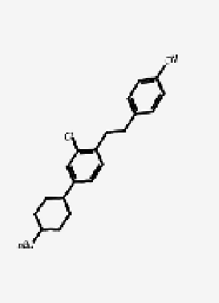 CCCCC1CCC(c2ccc(CCc3ccc(C#N)cc3)c(Cl)c2)CC1